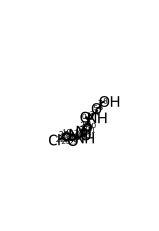 O=C(NCCOCCO)c1ccc2oc(Nc3nc4ccc(Cl)cc4o3)nc2c1